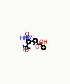 Cc1noc(C)c1-c1cc(-c2cccc(C(=O)C(O)c3ccccc3)c2C)c2c(c1)[nH]c(=O)n2C